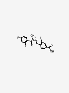 CN(N=Cc1ccc(C(=O)O)cc1F)C(=O)c1ccc(F)cc1F